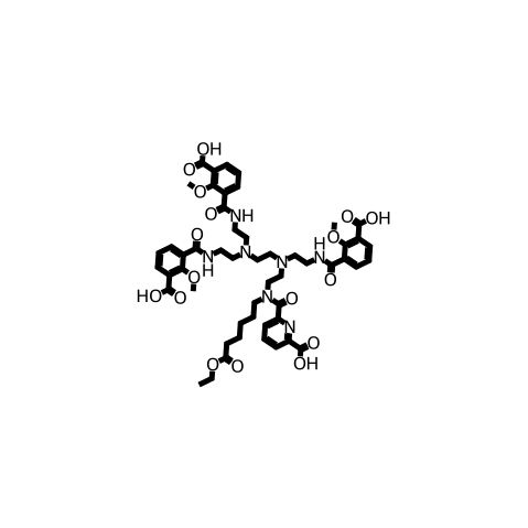 CCOC(=O)CCCCCN(CCN(CCNC(=O)c1cccc(C(=O)O)c1OC)CCN(CCNC(=O)c1cccc(C(=O)O)c1OC)CCNC(=O)c1cccc(C(=O)O)c1OC)C(=O)c1cccc(C(=O)O)n1